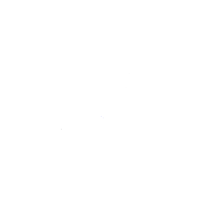 CC(C)(C)C1=CC(=NOS(=O)(=O)c2ccccc2)C(=O)C(C(C)(C)C)=C1